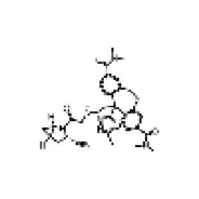 Cc1nnc(C2(CCNCC(=O)N3[C@H](C#N)C[C@@H]4C[C@@H]43)c3ccc(C(=O)N(C)C)cc3CCc3cc(C(=O)N(C)C)ccc32)o1